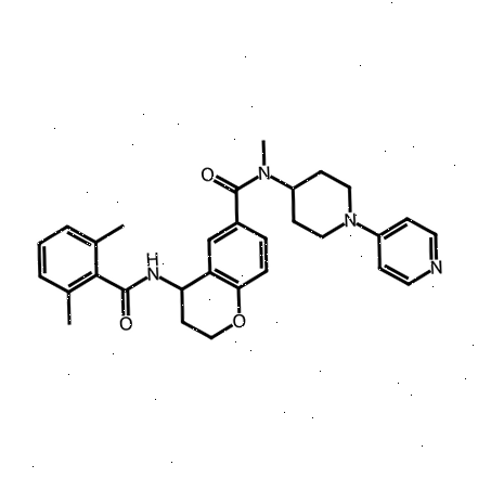 Cc1cccc(C)c1C(=O)NC1CCOc2ccc(C(=O)N(C)C3CCN(c4ccncc4)CC3)cc21